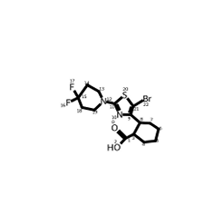 O=C(O)C1CCCCC1c1nc(N2CCC(F)(F)CC2)sc1Br